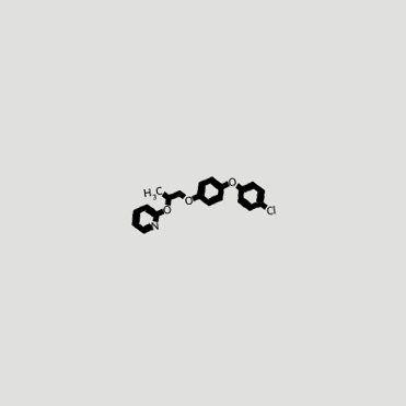 CC(COc1ccc(Oc2ccc(Cl)cc2)cc1)Oc1ccccn1